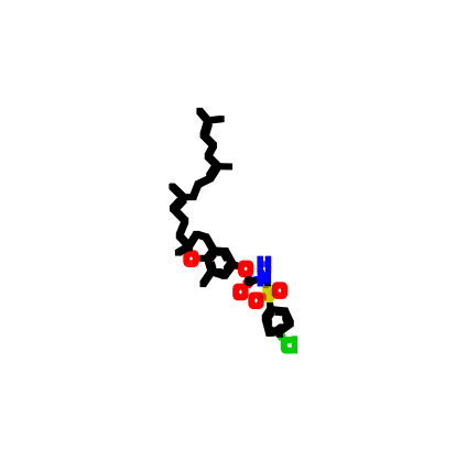 CC(C)=CCCC(C)=CCCC(C)=CCCC1(C)CCc2cc(OC(=O)NS(=O)(=O)c3ccc(Cl)cc3)cc(C)c2O1